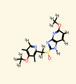 [2H]c1nc(C([2H])([2H])[S+]([O-])c2nc3nc(OC([2H])([2H])[2H])c([2H])c([2H])c3n2[2H])c(C)c(OC([2H])([2H])[2H])c1C